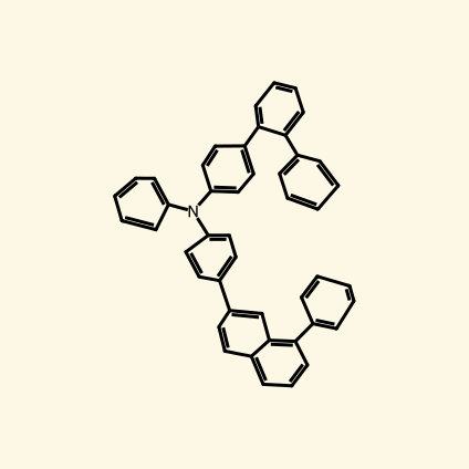 c1ccc(-c2ccccc2-c2ccc(N(c3ccccc3)c3ccc(-c4ccc5cccc(-c6ccccc6)c5c4)cc3)cc2)cc1